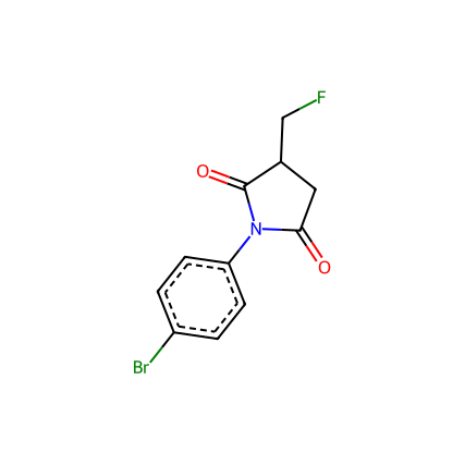 O=C1CC(CF)C(=O)N1c1ccc(Br)cc1